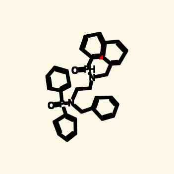 O=[PH](c1ccccc1)N(CCN(Cc1ccccc1)P(=O)(c1ccccc1)c1ccccc1)Cc1ccccc1